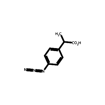 CC(C(=O)O)c1ccc(N=[N+]=[N-])cc1